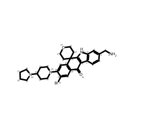 NCc1ccc2c3c([nH]c2c1)C1(CCOCC1)c1cc(N2CCC(N4CCCC4)CC2)c(Br)cc1C3=O